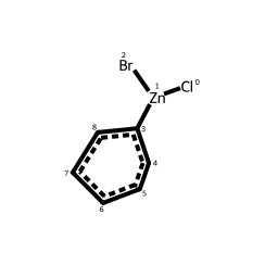 [Cl][Zn]([Br])[c]1ccccc1